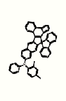 Cc1ccc(N(c2ccccc2)c2ccc3cc4c(cc3c2)C2(c3ccccc3-c3ccccc32)c2c-4c3ccccc3c3ccccc23)c(C)c1